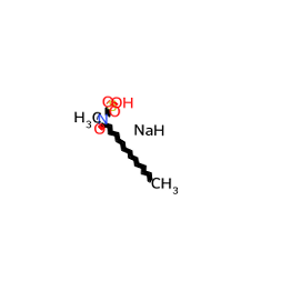 CCCCCCCCCCCCCCCC(=O)N(C)CCS(=O)(=O)O.[NaH]